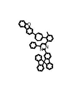 Cc1cccc(-c2cc(-c3ccccc3)nc(-c3ccc4c(c3)C3(c5ccccc5-c5ccccc53)c3ccccc3-4)n2)c1C1=CCC=C(c2ccc3c(c2)oc2ccccc23)C=C1